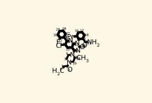 C=CC(=O)N1CCN(c2nc(=O)n(-c3c(CCC)cccc3C(N)=O)c3nc(-c4ccccc4F)c(Cl)cc23)[C@@H](C)C1